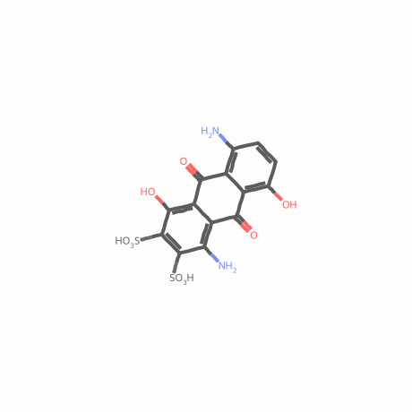 Nc1ccc(O)c2c1C(=O)c1c(O)c(S(=O)(=O)O)c(S(=O)(=O)O)c(N)c1C2=O